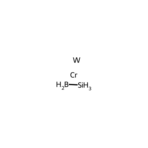 B[SiH3].[Cr].[W]